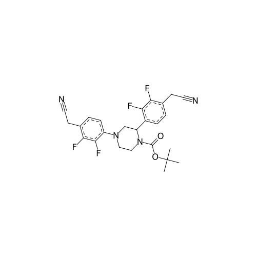 CC(C)(C)OC(=O)N1CCN(c2ccc(CC#N)c(F)c2F)CC1c1ccc(CC#N)c(F)c1F